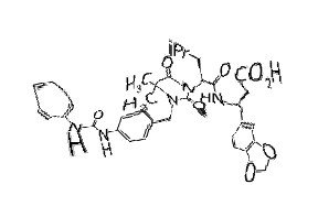 CC(C)C[C@@H](C(=O)N[C@@H](CC(=O)O)c1ccc2c(c1)OCO2)N1C(=O)N(Cc2ccc(NC(=O)Nc3ccccc3)cc2)C(C)(C)C1=O